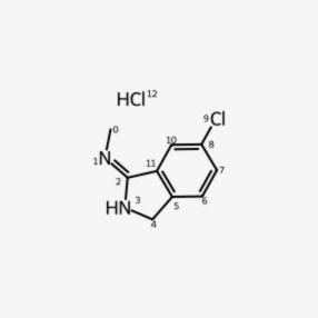 C/N=C1/NCc2ccc(Cl)cc21.Cl